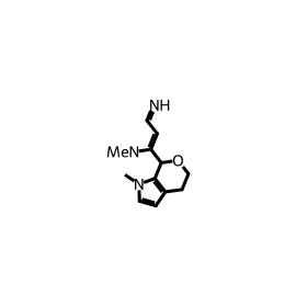 CN/C(=C\C=N)C1OCCc2ccn(C)c21